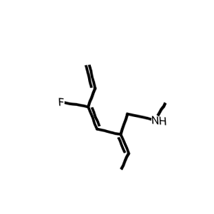 C=C/C(F)=C\C(=C/C)CNC